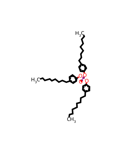 CCCCCCCCCc1ccc(OP(=O)(Oc2ccc(CCCCCCCCC)cc2)Oc2ccc(CCCCCCCCC)cc2)cc1